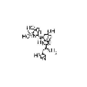 CC(O)[C@H](NC(=O)N[C@@H](CC(=O)O)c1nc([C@@H](N)Cc2cnc[nH]2)no1)C(=O)O